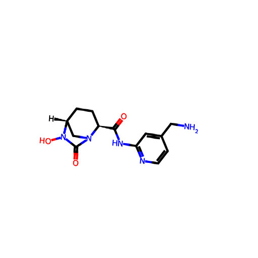 NCc1ccnc(NC(=O)[C@@H]2CC[C@@H]3CN2C(=O)N3O)c1